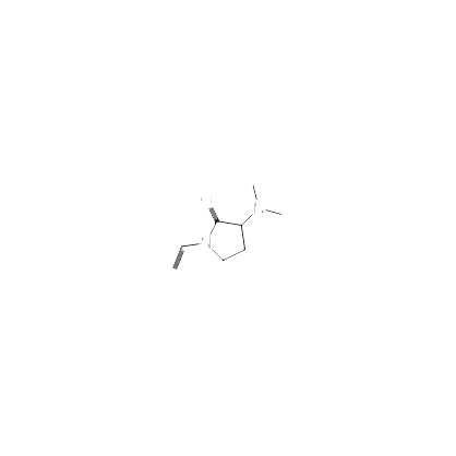 C=CN1CCC(N(C)C)C1=O